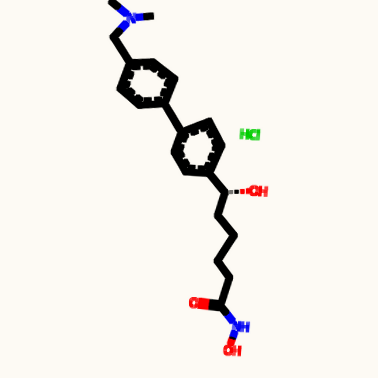 CN(C)Cc1ccc(-c2ccc([C@H](O)CCCCC(=O)NO)cc2)cc1.Cl